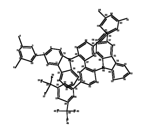 Cc1cc(C)cc(-c2ccc3c(c2)c2ccccc2n3-c2ccc(C#N)cc2-c2cc(-c3cc(C(F)(F)F)cc(C(F)(F)F)c3)ccc2-n2c3ccccc3c3cc(-c4cc(C)cc(C)c4)ccc32)c1